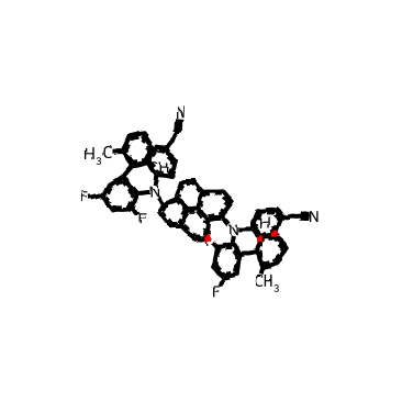 Cc1cccc(C)c1-c1cc(F)cc(F)c1N(c1ccc(C#N)cc1)c1ccc2ccc3c(N(c4ccc(C#N)cc4)c4c(F)cc(F)cc4-c4c(C)cccc4C)ccc4ccc1c2c43